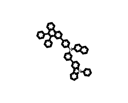 c1ccc(-c2c(-c3ccccc3)c3cc(-c4ccc(N(c5cccc(-c6ccc7c(c6)c6ccccc6n7-c6ccccc6)c5)c5ccc6ccccc6c5)cc4)ccc3c3ccccc23)cc1